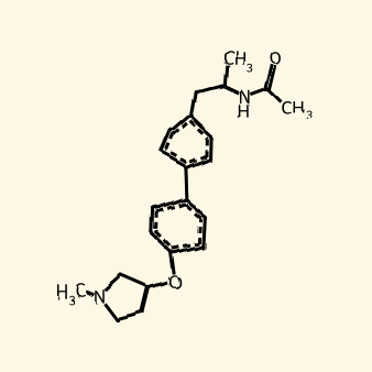 CC(=O)NC(C)Cc1ccc(-c2ccc(OC3CCN(C)C3)cc2)cc1